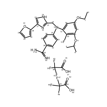 CCOc1cc(OC(C)C)c(F)c(N(Cc2nc(-c3ccco3)c[nH]2)c2ccc(C(=N)N)cc2)c1.O=C(O)C(F)(F)F.O=C(O)C(F)(F)F